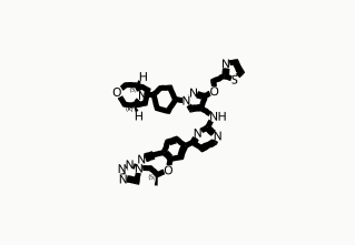 C[C@@H](Cn1cnnn1)Oc1cc(-c2ccnc(Nc3cn(C4CCC(N5[C@@H]6CC[C@H]5COC6)CC4)nc3OCc3nccs3)n2)ccc1C#N